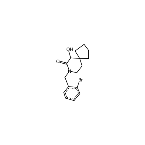 O=C1C(O)C2(CCCC2)CCN1Cc1ccccc1Br